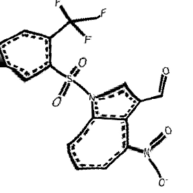 O=Cc1cn(S(=O)(=O)c2ccccc2C(F)(F)F)c2cccc([N+](=O)[O-])c12